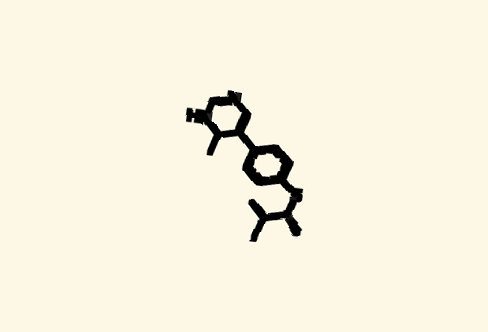 CC1NC=NC=C1c1ccc(S[C@@H](C)C(C)C)cc1